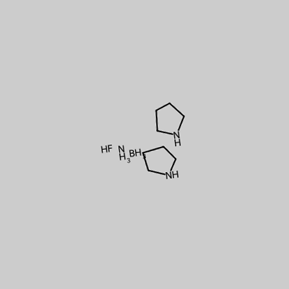 B.C1CCNC1.C1CCNC1.F.N